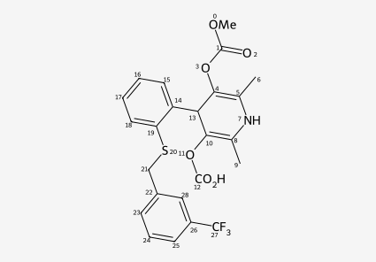 COC(=O)OC1=C(C)NC(C)=C(OC(=O)O)C1c1ccccc1SCc1cccc(C(F)(F)F)c1